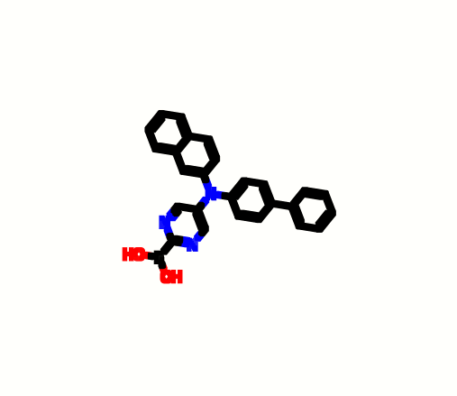 OB(O)c1ncc(N(c2ccc(-c3ccccc3)cc2)c2ccc3ccccc3c2)cn1